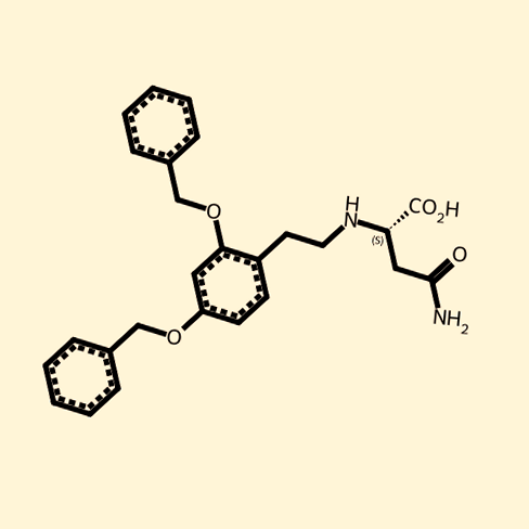 NC(=O)C[C@H](NCCc1ccc(OCc2ccccc2)cc1OCc1ccccc1)C(=O)O